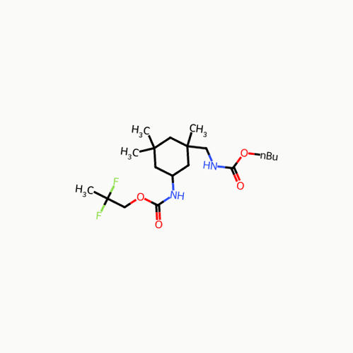 CCCCOC(=O)NCC1(C)CC(NC(=O)OCC(C)(F)F)CC(C)(C)C1